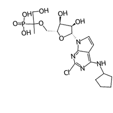 CC(CO)(OC[C@H]1O[C@@H](n2ccc3c(NC4CCCC4)nc(Cl)nc32)[C@H](O)[C@@H]1O)P(=O)(O)O